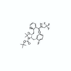 CC(C)(C)OC(=O)N1[C@H](Cc2ccccc2F)[C@H](Cc2ncccc2C(=O)NCC(F)(F)F)OC1(C)C